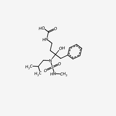 CNS(=O)(=O)N(CC(C)C)C(O)(CCNC(=O)O)Cc1ccccc1